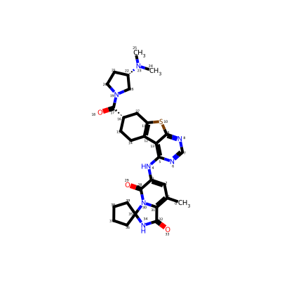 Cc1cc(Nc2ncnc3sc4c(c23)CC[C@H](C(=O)N2CC[C@H](N(C)C)C2)C4)c(=O)n2c1C(=O)NC21CCCC1